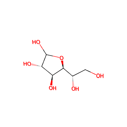 OC[C@H](O)[C@@H]1OC(O)[C@@H](O)[C@@H]1O